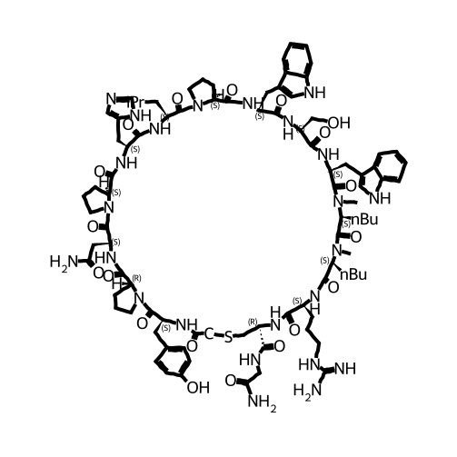 CCCC[C@H]1C(=O)N(C)[C@@H](CCCC)C(=O)N[C@@H](CCCNC(=N)N)C(=O)N[C@H](C(=O)NCC(N)=O)CSCC(=O)N[C@@H](Cc2ccc(O)cc2)C(=O)N2CCC[C@@H]2C(=O)N[C@@H](CC(N)=O)C(=O)N2CCC[C@H]2C(=O)N[C@@H](Cc2cnc[nH]2)C(=O)N[C@@H](CC(C)C)C(=O)N2CCC[C@H]2C(=O)N[C@@H](Cc2c[nH]c3ccccc23)C(=O)N[C@@H](CO)C(=O)N[C@@H](Cc2c[nH]c3ccccc23)C(=O)N1C